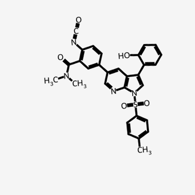 Cc1ccc(S(=O)(=O)n2cc(-c3ccccc3O)c3cc(-c4ccc(N=C=O)c(C(=O)N(C)C)c4)cnc32)cc1